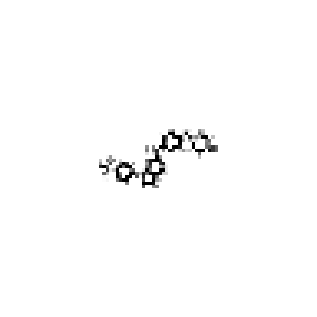 CS(=O)(=O)c1ccc(-n2ccc3cnc(Nc4ccc(CN5CCNCC5)cc4)nc32)cc1